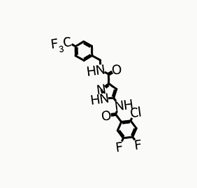 O=C(NCc1ccc(C(F)(F)F)cc1)c1cc(NC(=O)c2cc(F)c(F)cc2Cl)[nH]n1